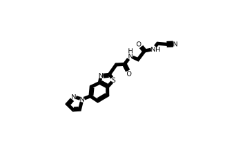 N#CCNC(=O)CNC(=O)Cc1nc2cc(-n3cccn3)ccc2s1